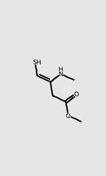 CN/C(=C\S)CC(=O)OC